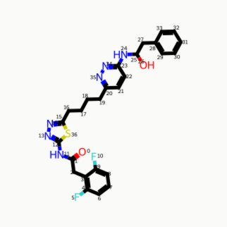 O=C(Cc1c(F)cccc1F)Nc1nnc(CCCCc2ccc(NC(O)Cc3ccccc3)nn2)s1